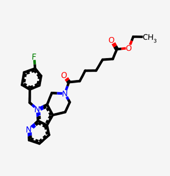 CCOC(=O)CCCCCC(=O)N1CCc2c(n(Cc3ccc(F)cc3)c3ncccc23)C1